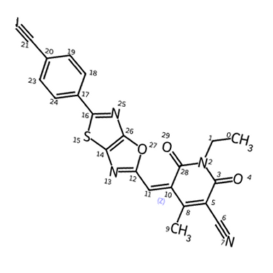 CCN1C(=O)C(C#N)=C(C)/C(=C/c2nc3sc(-c4ccc(C#N)cc4)nc3o2)C1=O